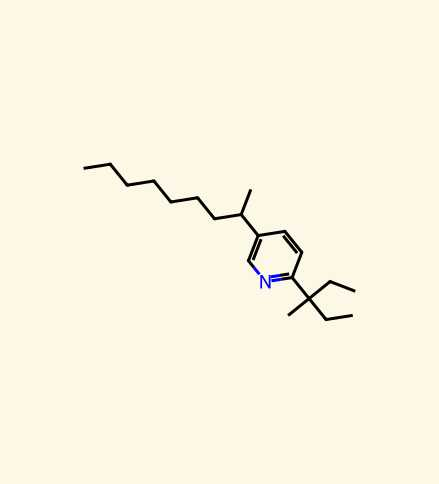 CCCCCCCC(C)c1ccc(C(C)(CC)CC)nc1